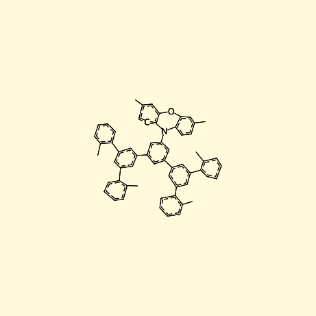 Cc1ccc2c(c1)Oc1cc(C)ccc1N2c1cc(-c2cc(-c3ccccc3C)cc(-c3ccccc3C)c2)cc(-c2cc(-c3ccccc3C)cc(-c3ccccc3C)c2)c1